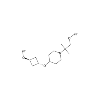 CC(C)OCC(C)(C)N1CCC(O[C@H]2C[C@H](OC(C)C)C2)CC1